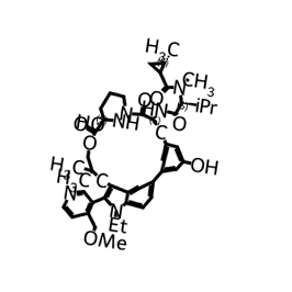 CCn1c(-c2cnccc2COC)c2c3cc(ccc31)-c1cc(O)cc(c1)C[C@H](NC(=O)[C@H](C(C)C)N(C)C(=O)C1C[C@@H]1C)C(=O)N1CCC[C@@](O)(N1)C(=O)OCC(C)(C)C2